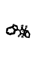 O=C1[C@@H]2C3CCC(C3)[C@@H]2C(=O)N1c1csc2ccccc12